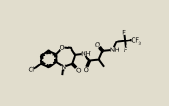 CC(C(=O)NCC(F)(F)C(F)(F)F)C(=O)NC1COc2ccc(Cl)cc2N(C)C1=O